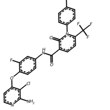 Nc1nccc(Oc2ccc(NC(=O)c3ccc(C(F)(F)F)n(-c4ccc(F)cc4)c3=O)cc2F)c1Cl